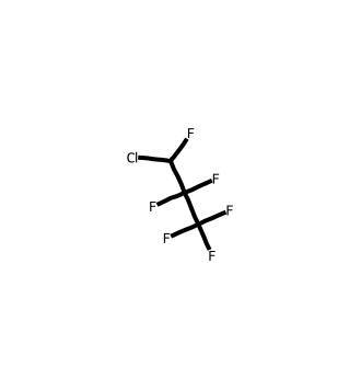 F[C](Cl)C(F)(F)C(F)(F)F